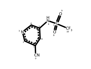 N#Cc1cncc(NS(=O)(=O)C(F)(F)F)c1